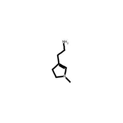 CN1C=C(CCN)CC1